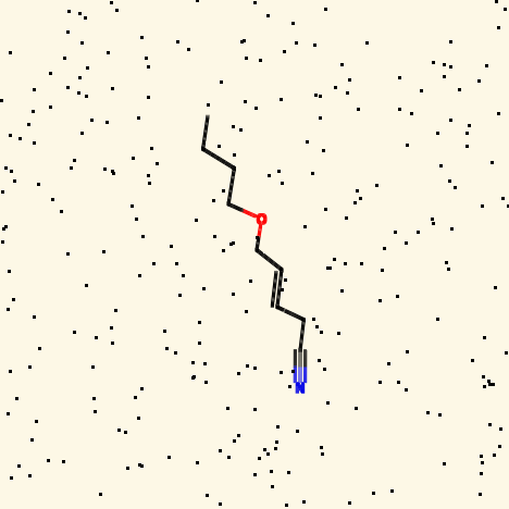 CCCCOC/C=C/CC#N